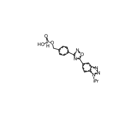 CC(C)n1nnc2cc(-c3nc(-c4ccc(CO[PH](=O)O)cc4)no3)ccc21